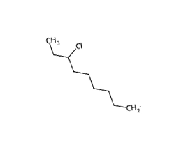 [CH2]CCCCCC(Cl)CC